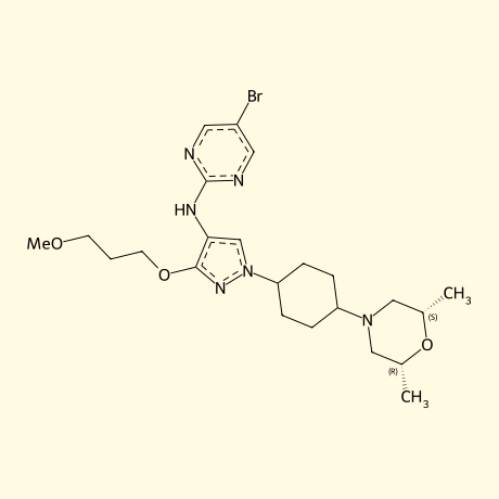 COCCCOc1nn(C2CCC(N3C[C@@H](C)O[C@@H](C)C3)CC2)cc1Nc1ncc(Br)cn1